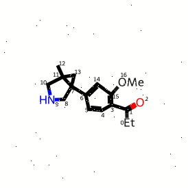 CCC(=O)c1ccc(C23CNCC2(C)C3)cc1OC